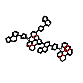 c1ccc(N(c2ccc(-c3ccc(-c4cccc5ccccc45)cc3)cc2)c2ccc(-c3cccc4c3ccc3ccccc34)cc2)c(-c2cccc3cc(-c4ccc(-c5ccc(N(c6ccccc6-c6cccc7cccc(C8CCCCC8)c67)c6cccc7ccccc67)cc5)c5ccc6ccccc6c45)cc(C4CCCCC4)c23)c1